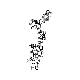 COC(=O)c1c(CCCO)c2ccc(Cl)c(-c3c(C)n[nH]c3CSCc3cc(CSc4cc(OCc5ccc(OC)cc5)c5ncccc5c4)n(C)n3)c2n1C